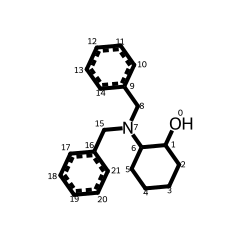 OC1CCCCC1N(Cc1ccccc1)Cc1ccccc1